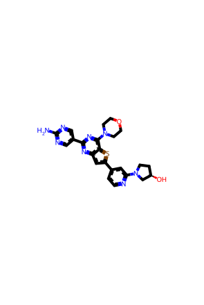 Nc1ncc(-c2nc(N3CCOCC3)c3sc(-c4ccnc(N5CC[C@@H](O)C5)c4)cc3n2)cn1